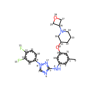 Cc1cc(Nc2ncn(-c3ccc(F)c(F)c3)n2)cc(OC2CCCN(C3COC3)C2)c1